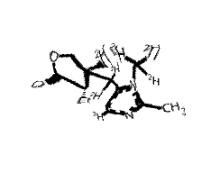 [2H]c1nc(C)n(C([2H])([2H])[2H])c1C([2H])([2H])[C@@]1([2H])COC(=O)[C@H]1CC